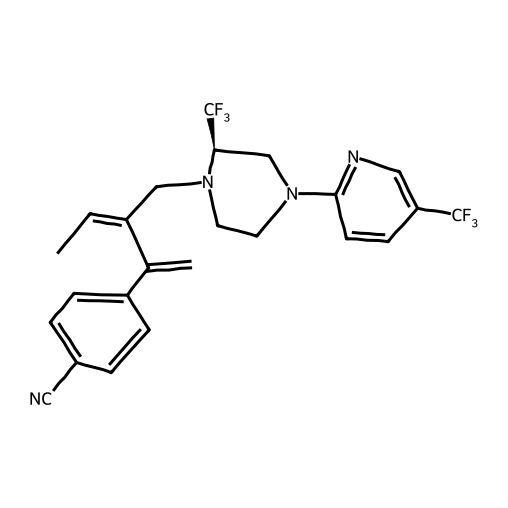 C=C(/C(=C\C)CN1CCN(c2ccc(C(F)(F)F)cn2)C[C@@H]1C(F)(F)F)c1ccc(C#N)cc1